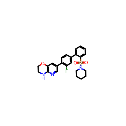 O=S(=O)(c1ccccc1-c1ccc(-c2cnc3c(c2)OCCN3)c(F)c1)N1CCCCC1